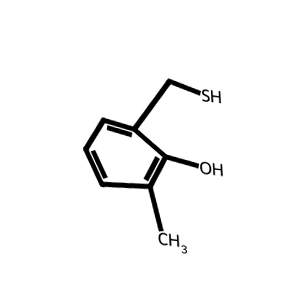 Cc1cccc(CS)c1O